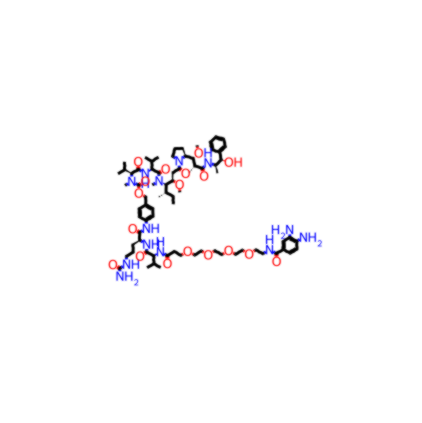 CC[C@H](C)[C@@H]([C@@H](CC(=O)N1CCC[C@H]1[C@H](OC)[C@@H](C)C(=O)N[C@H](C)[C@@H](O)c1ccccc1)OC)N(C)C(=O)[C@@H](NC(=O)[C@H](C(C)C)N(C)C(=O)OCc1ccc(NC(=O)[C@H](CCCNC(N)=O)NC(=O)[C@@H](NC(=O)CCOCCOCCOCCOCCNC(=O)c2ccc(N)c(N)c2)C(C)C)cc1)C(C)C